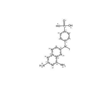 CN(c1ccc(P(=O)(O)O)cc1)c1cnc2nc(N)nc(N)c2n1